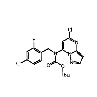 CC(C)(C)OC(=O)N(Cc1ccc(Cl)cc1F)c1cc(Cl)nc2ccnn12